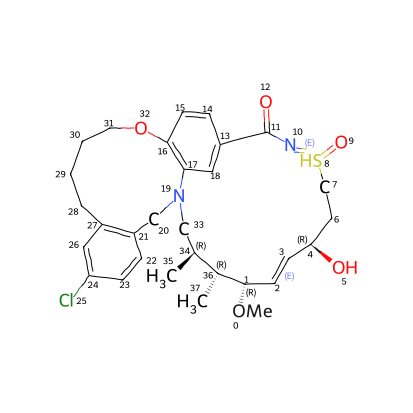 CO[C@H]1/C=C/[C@H](O)CC/[SH](=O)=N\C(=O)c2ccc3c(c2)N(Cc2ccc(Cl)cc2CCCCO3)C[C@H](C)[C@H]1C